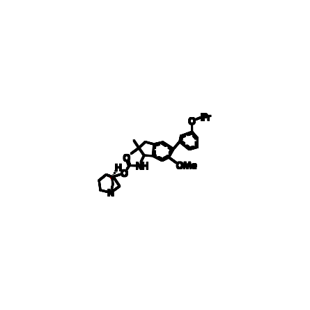 COc1cc2c(cc1-c1cccc(OC(C)C)c1)CC(C)(C)C2NC(=O)O[C@H]1CN2CCC1CC2